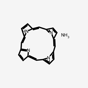 C1=Cc2cc3ccc(cc4nc(cc5ccc(cc1n2)[nH]5)C=C4)[nH]3.N